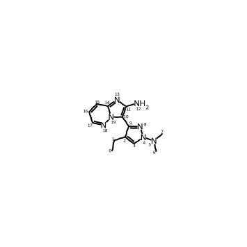 CCc1cn(N(C)C)nc1-c1c(N)nc2cccnn12